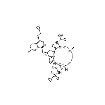 C[C@H]1CCC=C[C@@H]2C[C@@]2(C(=O)NS(=O)(=O)C2CC2)NC(=O)[C@@H]2C[C@@H](Oc3ncc(OCC4CC4)c4ccc(F)cc34)CN2C(=O)[C@@H](NC(=O)O)[C@H](C)C1